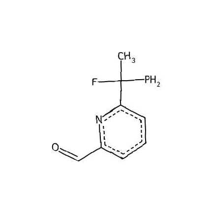 CC(F)(P)c1cccc(C=O)n1